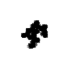 CC1(C)c2ccccc2-c2ccc(-n3c4ccccc4c4cc(-c5ccc6c(c5)c5ccccc5n6-c5cccc(-c6cc(-c7cccc(-c8cc(-c9ccccc9)cc(-c9ccccc9)c8)c7)nc(-n7c8ccccc8c8cc(-c9ccc%10c(c9)c9ccccc9n%10-c9ccc%10c(c9)C(C)(C)c9ccccc9-%10)ccc87)n6)c5)ccc43)cc21